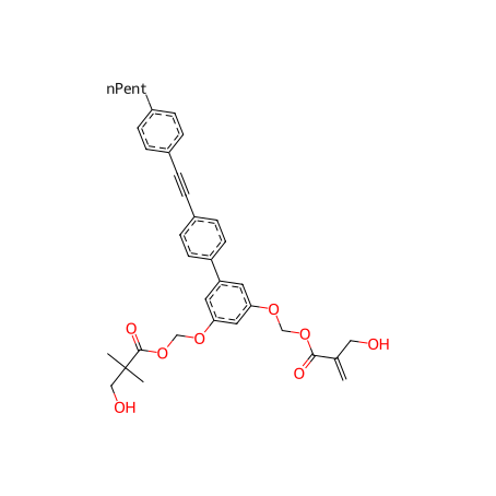 C=C(CO)C(=O)OCOc1cc(OCOC(=O)C(C)(C)CO)cc(-c2ccc(C#Cc3ccc(CCCCC)cc3)cc2)c1